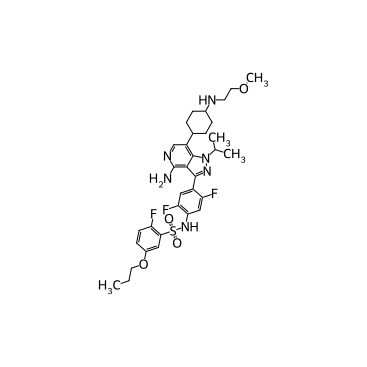 CCCOc1ccc(F)c(S(=O)(=O)Nc2cc(F)c(-c3nn(C(C)C)c4c(C5CCC(NCCOC)CC5)cnc(N)c34)cc2F)c1